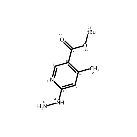 Cc1cc(NN)ncc1C(=O)OC(C)(C)C